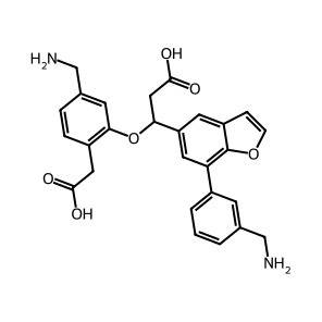 NCc1cccc(-c2cc(C(CC(=O)O)Oc3cc(CN)ccc3CC(=O)O)cc3ccoc23)c1